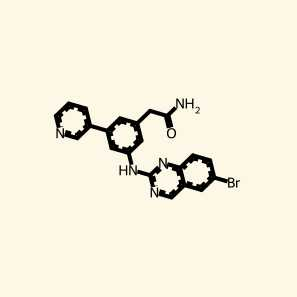 NC(=O)Cc1cc(Nc2ncc3cc(Br)ccc3n2)cc(-c2cccnc2)c1